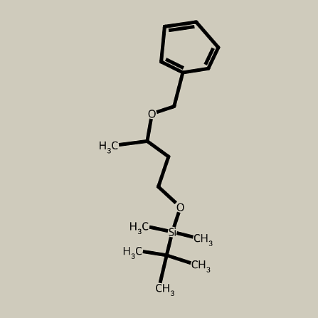 CC(CCO[Si](C)(C)C(C)(C)C)OCc1ccccc1